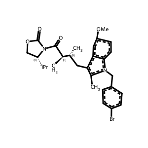 COc1ccc2c(c1)c(C[C@@H](C)[C@@H](C)C(=O)N1C(=O)OC[C@H]1C(C)C)c(C)n2Cc1ccc(Br)cc1